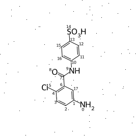 Nc1ccc(Cl)c(C(=O)Nc2ccc(S(=O)(=O)O)cc2)c1